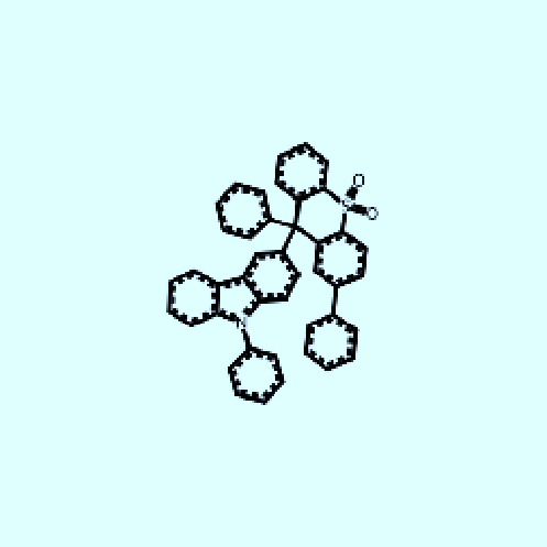 O=S1(=O)c2ccccc2C(c2ccccc2)(c2ccc3c(c2)c2ccccc2n3-c2ccccc2)c2cc(-c3ccccc3)ccc21